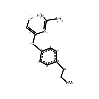 CCC/C=C(\N=C(N)N)Oc1ccc(CCNC)cc1